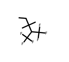 CCC(C)(C)C(C(F)(F)F)C(F)(F)F